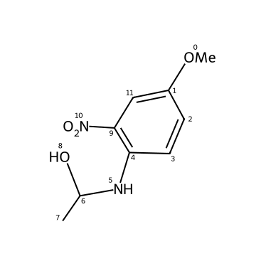 COc1ccc(NC(C)O)c([N+](=O)[O-])c1